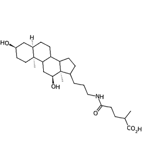 CC(CCC(=O)NCCCC1CCC2C3CC[C@@H]4C[C@H](O)CC[C@]4(C)C3C[C@H](O)[C@]12C)C(=O)O